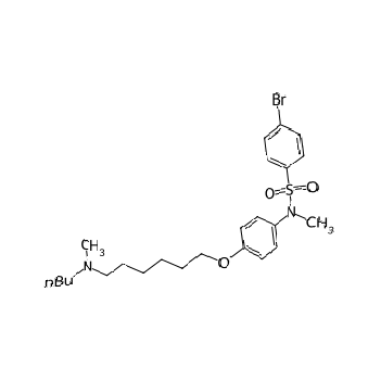 CCCCN(C)CCCCCCOc1ccc(N(C)S(=O)(=O)c2ccc(Br)cc2)cc1